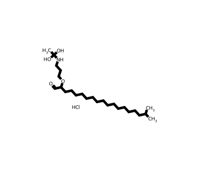 CC(C)CCCCCCCCCCCCCCCC(C=O)OCCCNC(C)(O)O.Cl